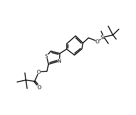 CC(C)(C)C(=O)OCc1nc(-c2ccc(CO[Si](C)(C)C(C)(C)C)cc2)cs1